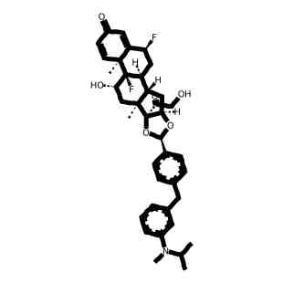 CC(C)N(C)c1cccc(Cc2ccc([C@@H]3O[C@@H]4C[C@H]5[C@@H]6C[C@H](F)C7=CC(=O)C=C[C@]7(C)[C@@]6(F)[C@@H](O)C[C@]5(C)[C@]4(C(=O)CO)O3)cc2)c1